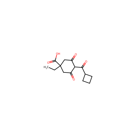 CCC1(C(=O)O)CC(=O)C(C(=O)C2CCC2)C(=O)C1